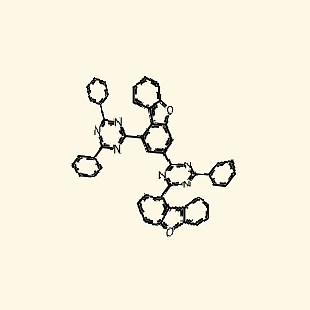 c1ccc(-c2nc(-c3cc(-c4nc(-c5ccccc5)nc(-c5ccccc5)n4)c4c(c3)oc3ccccc34)nc(-c3cccc4oc5ccccc5c34)n2)cc1